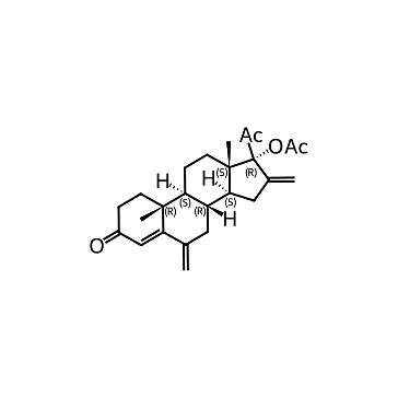 C=C1C[C@@H]2[C@H](CC[C@@]3(C)[C@H]2CC(=C)[C@]3(OC(C)=O)C(C)=O)[C@@]2(C)CCC(=O)C=C12